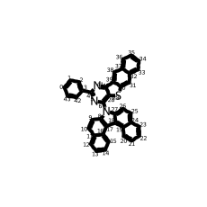 c1ccc(-c2nc(-n3c4ccc5ccccc5c4c4c5ccccc5ccc43)c3sc4cc5ccccc5cc4c3n2)cc1